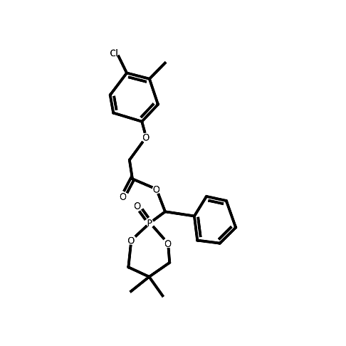 Cc1cc(OCC(=O)OC(c2ccccc2)P2(=O)OCC(C)(C)CO2)ccc1Cl